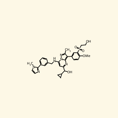 COc1ccc(-c2c(C)nn3c(NCc4cccc(-c5nccn5C)c4)cc(C(O)C4CC4)nc23)cc1S(=O)(=O)CCO